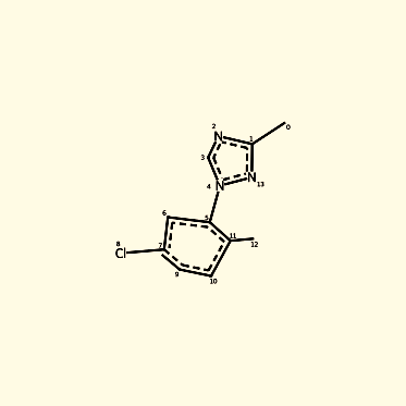 Cc1ncn(-c2cc(Cl)ccc2C)n1